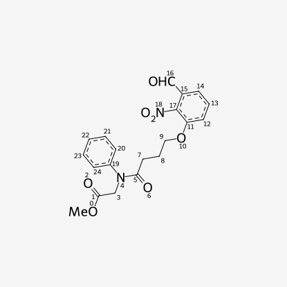 COC(=O)CN(C(=O)CCCOc1cccc(C=O)c1[N+](=O)[O-])c1ccccc1